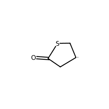 O=C1C[CH]CS1